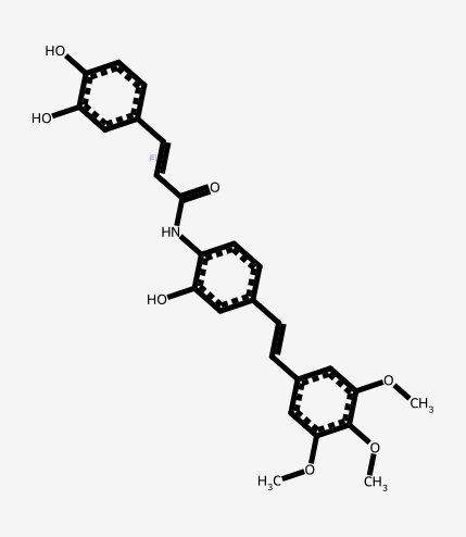 COc1cc(C=Cc2ccc(NC(=O)/C=C/c3ccc(O)c(O)c3)c(O)c2)cc(OC)c1OC